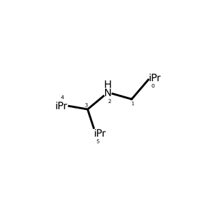 CC(C)CNC(C(C)C)C(C)C